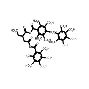 O=C(O)CC(CC(=O)OC(=O)c1c(C(=O)O)c(C(=O)O)c(C(=O)O)c(C(=O)O)c1C(=O)O)C(=O)OC(=O)c1c(C(=O)O)c(C(=O)O)c(C(=O)O)c(C(=O)O)c1C(=O)O.O=C(O)c1c(C(=O)O)c(C(=O)O)c(C(=O)O)c(C(=O)O)c1C(=O)O